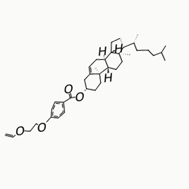 C=COCCOc1ccc(C(=O)O[C@H]2CC[C@@]3(C)C(=CC[C@H]4[C@@H]5CC[C@H]([C@H](C)CCCC(C)C)[C@@]5(C)CC[C@@H]43)C2)cc1